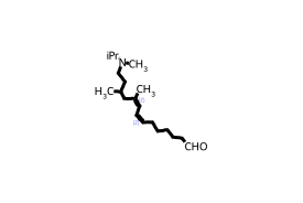 C/C(=C/C=C\CCCCCC=O)CC(C)CCN(C)C(C)C